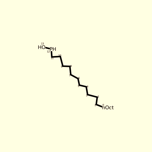 CCCCCCCCCCCCCCCCCCCPO